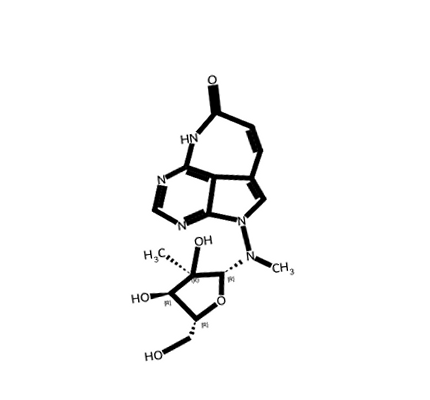 CN([C@@H]1O[C@H](CO)[C@@H](O)[C@@]1(C)O)n1cc2c3c(ncnc31)NC(=O)C=C2